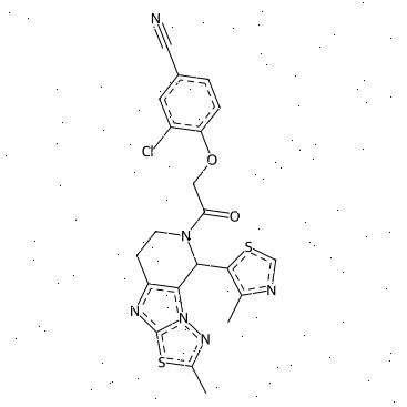 Cc1nn2c3c(nc2s1)CCN(C(=O)COc1ccc(C#N)cc1Cl)C3c1scnc1C